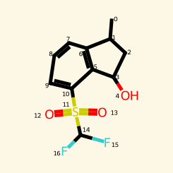 CC1CC(O)c2c1cccc2S(=O)(=O)C(F)F